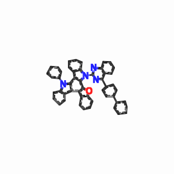 c1ccc(-c2ccc(-c3nc(-n4c5ccccc5c5c4c4oc6ccccc6c4c4c6ccccc6n(-c6ccccc6)c45)nc4ccccc34)cc2)cc1